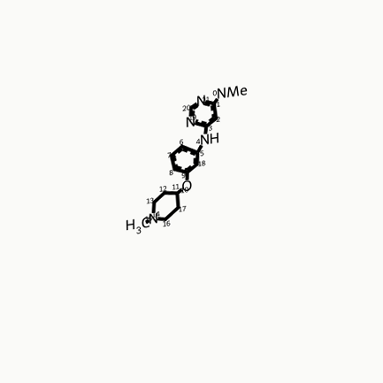 CNc1cc(Nc2cccc(OC3CCN(C)CC3)c2)ncn1